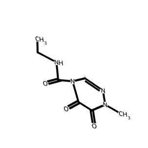 CCNC(=O)n1[c]nn(C)c(=O)c1=O